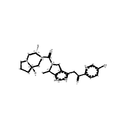 CCc1ccc(C(=O)Cc2n[nH]c3c2CN(C(=O)N2C[C@@H]4CCCN4C[C@@H]2C)C3C)nc1